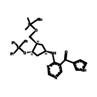 CC(C)[Si](O[C@H]1C[C@H](Nc2ncncc2C(=O)c2cc[nH]c2)C[C@@H]1CO[Si](C)(C)C(C)(C)C)(C(C)C)C(C)C